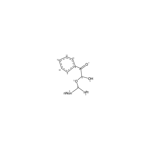 CCCCCCCCCC(CCC)OC(O)C(=O)c1ccccc1